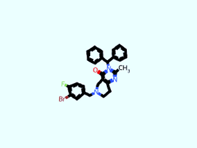 Cc1nc2c(c(=O)n1C(c1ccccc1)c1ccccc1)CN(Cc1ccc(F)c(Br)c1)CC2